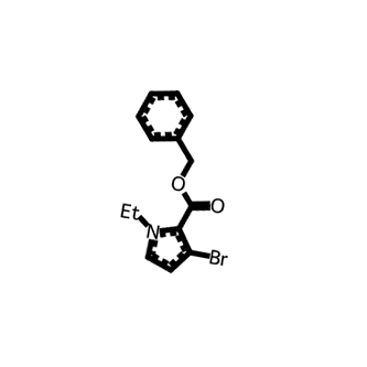 CCn1ccc(Br)c1C(=O)OCc1ccccc1